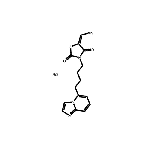 CCC/C=C1/SC(=O)N(CCCCc2cccc3nccn23)C1=O.Cl